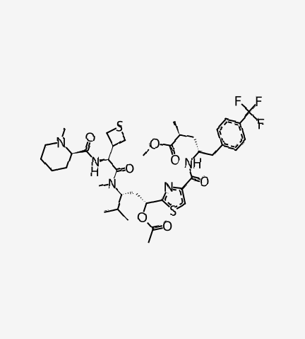 COC(=O)[C@@H](C)C[C@H](Cc1ccc(C(F)(F)F)cc1)NC(=O)c1csc([C@@H](C[C@H](C(C)C)N(C)C(=O)[C@@H](NC(=O)[C@H]2CCCCN2C)C2CSC2)OC(C)=O)n1